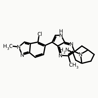 Cc1nc2c(-c3ccc4nn(C)cc4c3Cl)c[nH]c2nc1N1C2CCC1CC(N)C2